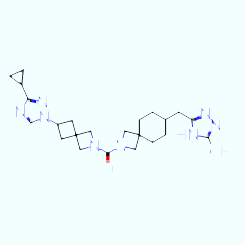 O=C(N1CC2(CCC(Cc3nnc(C(F)(F)F)[nH]3)CC2)C1)N1CC2(CC(n3cnc(C4CC4)n3)C2)C1